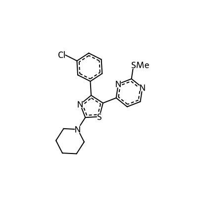 CSc1nccc(-c2sc(N3CCCCC3)nc2-c2cccc(Cl)c2)n1